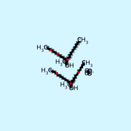 CCCCCCCCCCCCCCCC[N+](C)(CCO)CCCCCCCCCCCCCCCC.CCCCCCCCCCCCCCCC[N+](C)(CCO)CCCCCCCCCCCCCCCC.O=S(=O)([O-])[O-]